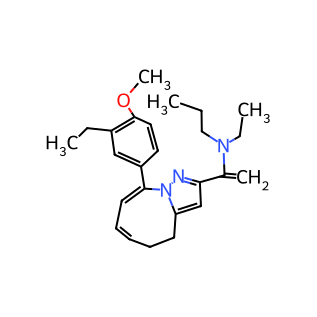 C=C(c1cc2n(n1)/C(c1ccc(OC)c(CC)c1)=C\C=C/CC2)N(CC)CCC